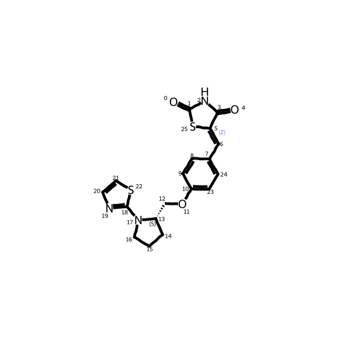 O=C1NC(=O)/C(=C/c2ccc(OC[C@@H]3CCCN3c3nccs3)cc2)S1